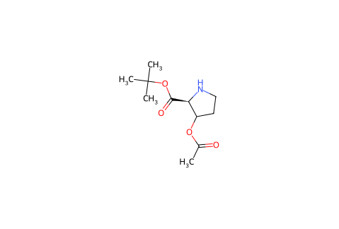 CC(=O)OC1CCN[C@@H]1C(=O)OC(C)(C)C